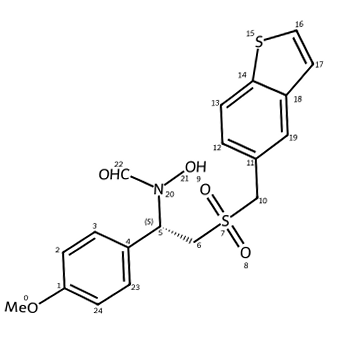 COc1ccc([C@@H](CS(=O)(=O)Cc2ccc3sccc3c2)N(O)C=O)cc1